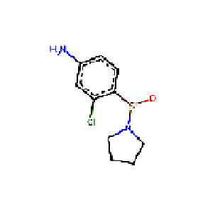 Nc1ccc([S+]([O-])N2CCCC2)c(Cl)c1